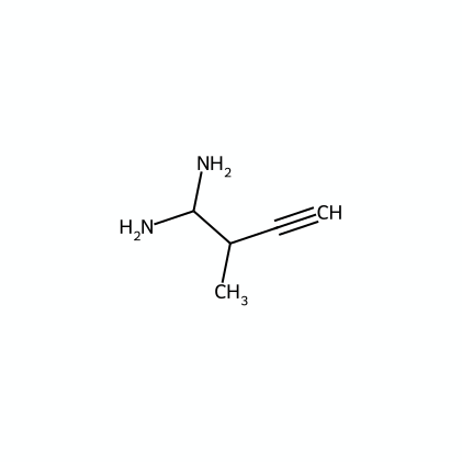 C#CC(C)C(N)N